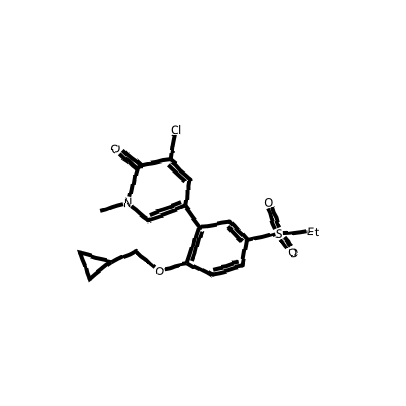 CCS(=O)(=O)c1ccc(OCC2CC2)c(-c2cc(Cl)c(=O)n(C)c2)c1